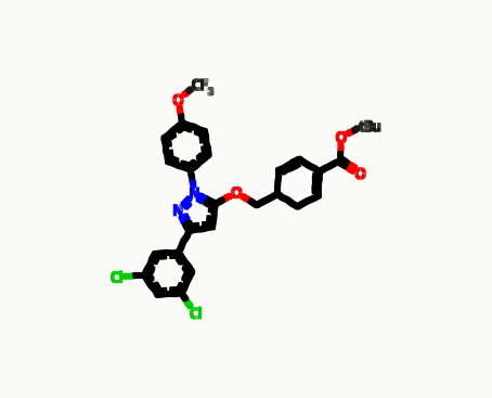 CC(C)(C)OC(=O)C1=CCC(COc2cc(-c3cc(Cl)cc(Cl)c3)nn2-c2ccc(OC(F)(F)F)cc2)C=C1